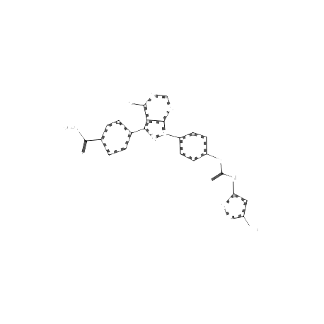 CNC(=O)c1ccc(-c2nn(-c3ccc(NC(=O)Nc4cc(C(C)(C)C)on4)cc3)c3ncnc(N)c23)cc1